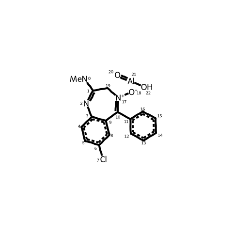 CNC1=Nc2ccc(Cl)cc2C(c2ccccc2)=[N+]([O-])C1.[O]=[Al][OH]